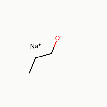 CCC[O-].[Na+]